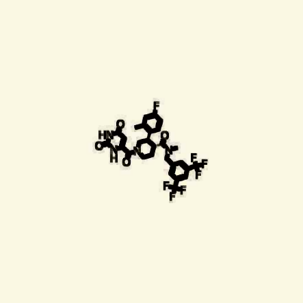 Cc1cc(F)ccc1[C@@H]1CN(C(=O)c2cc(=O)[nH]c(=O)[nH]2)CC[C@H]1C(=O)N(C)Cc1cc(C(F)(F)F)cc(C(F)(F)F)c1